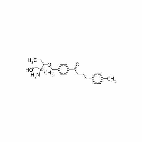 CCC(OCc1ccc(C(=O)CCCc2ccc(C)cc2)cc1)[C@@](C)(N)CO